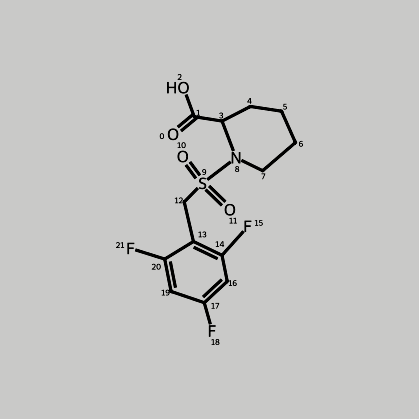 O=C(O)C1CCCCN1S(=O)(=O)Cc1c(F)cc(F)cc1F